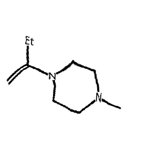 C=C(CC)N1CCN(C)CC1